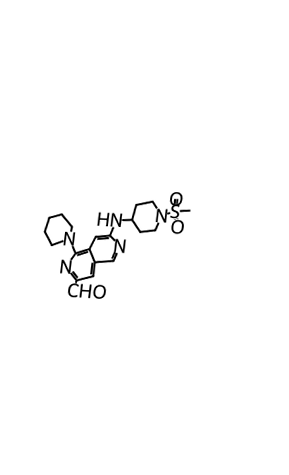 CS(=O)(=O)N1CCC(Nc2cc3c(N4CCCCC4)nc(C=O)cc3cn2)CC1